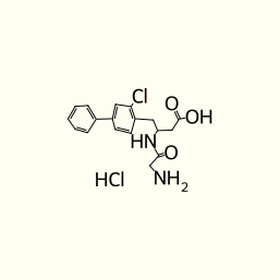 Cl.NCC(=O)NC(CC(=O)O)Cc1ccc(-c2ccccc2)cc1Cl